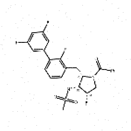 CC(C)C(=O)N1C[C@H](F)[C@H](NS(C)(=O)=O)[C@@H]1Cc1cccc(-c2cc(F)cc(F)c2)c1F